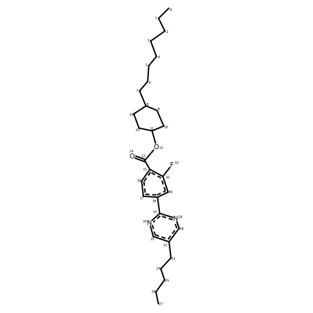 CCCCCCCCC1CCC(OC(=O)c2ccc(-c3ncc(CCCCC)cn3)cc2F)CC1